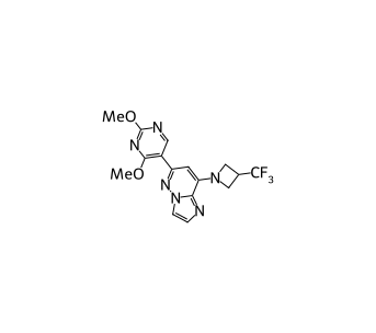 COc1ncc(-c2cc(N3CC(C(F)(F)F)C3)c3nccn3n2)c(OC)n1